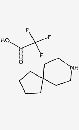 C1CCC2(C1)CCNCC2.O=C(O)C(F)(F)F